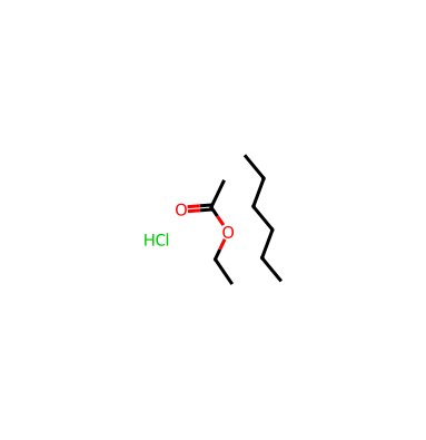 CCCCCC.CCOC(C)=O.Cl